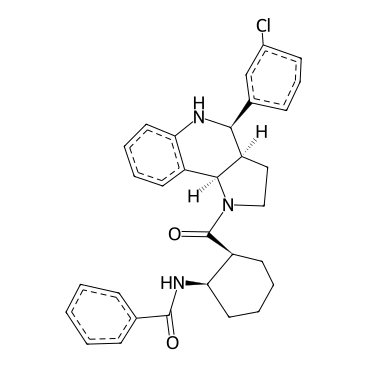 O=C(N[C@@H]1CCCC[C@@H]1C(=O)N1CC[C@@H]2[C@H](c3cccc(Cl)c3)Nc3ccccc3[C@@H]21)c1ccccc1